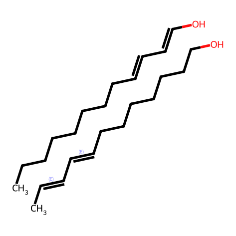 C/C=C/C=C/CCCCCCCO.CCCCCCCCC=CC=CO